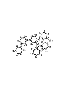 Cn1c2ccccc2c2c1ccc1c3ccccc3n(-c3cccc(-c4cccc(-c5ccccc5)c4)c3)c12